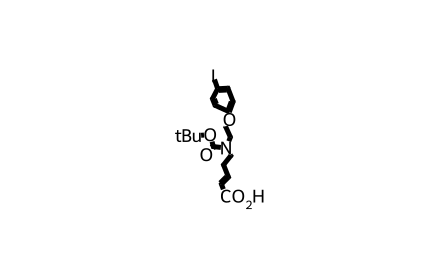 CC(C)(C)OC(=O)N(CCC=CC(=O)O)CCOc1ccc(I)cc1